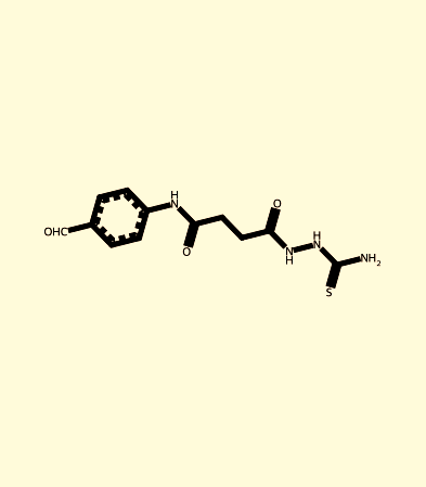 NC(=S)NNC(=O)CCC(=O)Nc1ccc(C=O)cc1